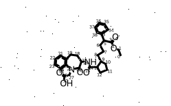 CCOC(=O)C(CCCC1CCCC1C(=O)NC1CCc2ccccc2N(CC(=O)O)C1=O)c1ccccc1